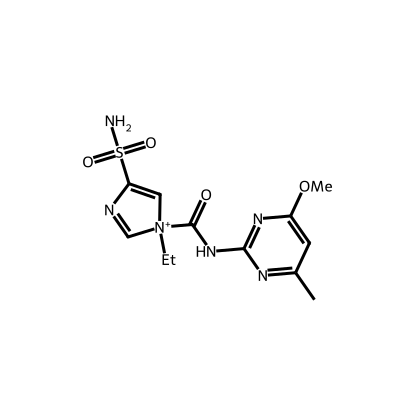 CC[N+]1(C(=O)Nc2nc(C)cc(OC)n2)C=NC(S(N)(=O)=O)=C1